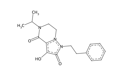 CC(C)N1CCn2c(c(O)c(=O)n2CCc2ccccc2)C1=O